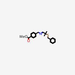 COC(=O)c1ccc(CN=CC(C)(C)SCc2ccccc2)cc1